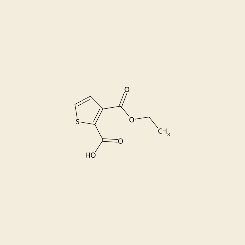 CCOC(=O)c1ccsc1C(=O)O